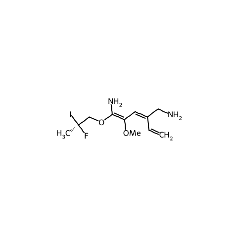 C=C/C(=C\C(OC)=C(/N)OC[C@@](C)(F)I)CN